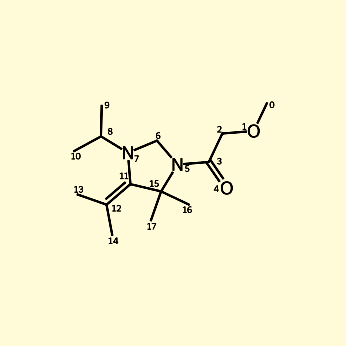 COCC(=O)N1CN(C(C)C)C(=C(C)C)C1(C)C